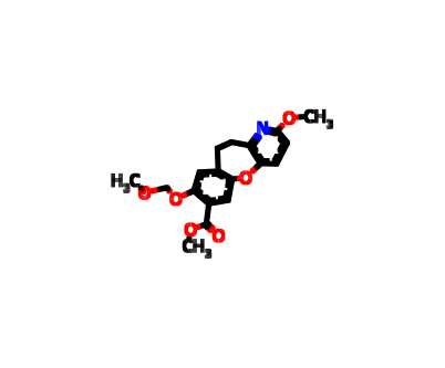 COCOc1cc2c(cc1C(=O)OC)Oc1ccc(OC)nc1CC2